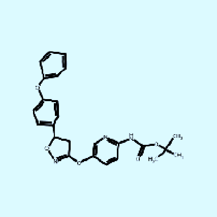 CC(C)(C)OC(=O)Nc1ccc(OC2=NO[C@@H](c3ccc(Oc4ccccc4)cc3)C2)cn1